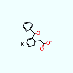 O=C([O-])Cc1ccccc1C(=O)c1ccccc1.[K+]